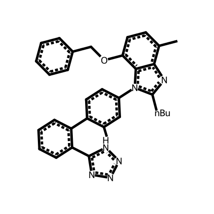 CCCCc1nc2c(C)ccc(OCc3ccccc3)c2n1-c1ccc(-c2ccccc2-c2nnn[nH]2)c(C)c1